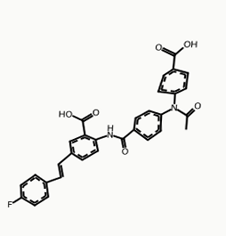 CC(=O)N(c1ccc(C(=O)O)cc1)c1ccc(C(=O)Nc2ccc(C=Cc3ccc(F)cc3)cc2C(=O)O)cc1